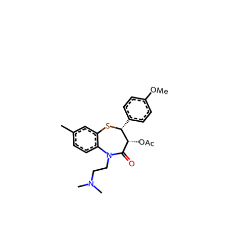 COc1ccc([C@H]2Sc3cc(C)ccc3N(CCN(C)C)C(=O)[C@H]2OC(C)=O)cc1